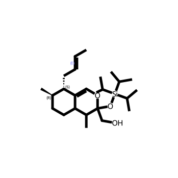 C/C=C/C[C@@H]1C2=COC(CO)(O[Si](C(C)C)(C(C)C)C(C)C)C(C)C2CC[C@H]1C